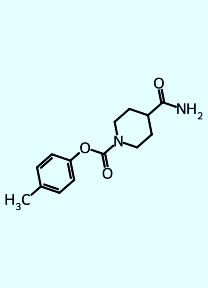 Cc1ccc(OC(=O)N2CCC(C(N)=O)CC2)cc1